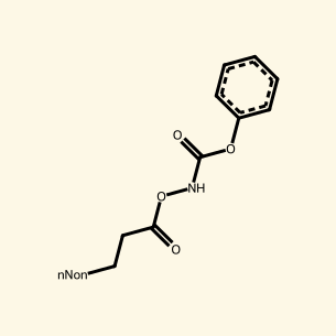 CCCCCCCCCCCC(=O)ONC(=O)Oc1ccccc1